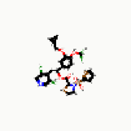 O=C(O[C@@H](Cc1c(Cl)cncc1Cl)c1ccc(OC(F)F)c(OCC2CC2)c1)C1SCCN1S(=O)(=O)c1cccs1